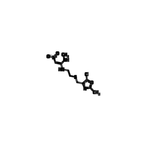 CNC(=C[N+](=O)[O-])NCCSCc1nc(C)oc1Cl